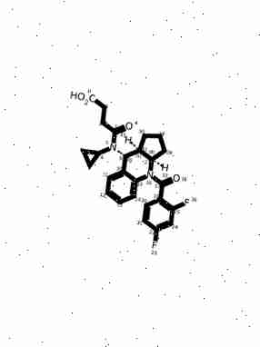 O=C(O)CCC(=O)N(C1CC1)[C@H]1c2ccccc2N(C(=O)c2ccc(F)cc2F)[C@@H]2CCC[C@@H]21